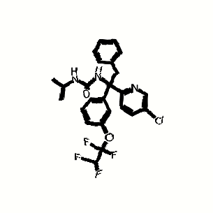 CC(C)NC(=O)NC(Cc1ccccc1)(c1cccc(OC(F)(F)C(F)F)c1)c1ccc(Cl)cn1